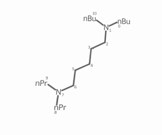 CCCCN(C[CH]CCCN(CCC)CCC)CCCC